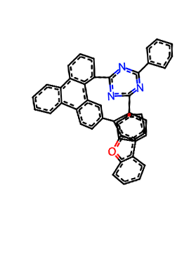 c1ccc(-c2nc(-c3ccccc3)nc(-c3cccc4c5ccccc5c5ccc(-c6cccc7c6oc6ccccc67)cc5c34)n2)cc1